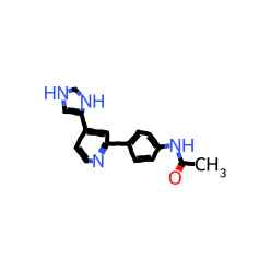 CC(=O)Nc1ccc(-c2cc(C3=CNCN3)ccn2)cc1